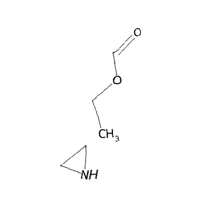 C1CN1.CCOC=O